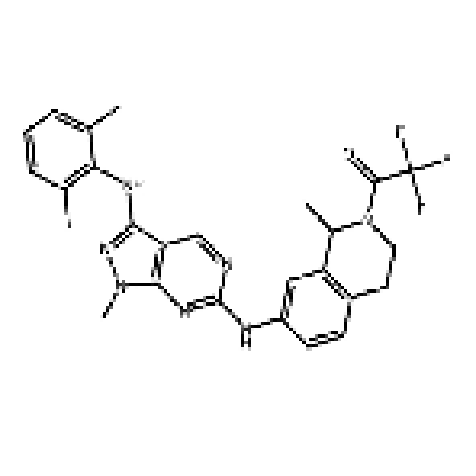 Cc1cccc(C)c1Nc1nn(C)c2nc(Nc3ccc4c(c3)C(C)N(C(=O)C(F)(F)F)CC4)ncc12